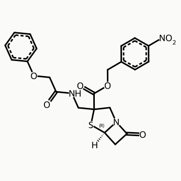 O=C(COc1ccccc1)NCC1(C(=O)OCc2ccc([N+](=O)[O-])cc2)CN2C(=O)C[C@H]2S1